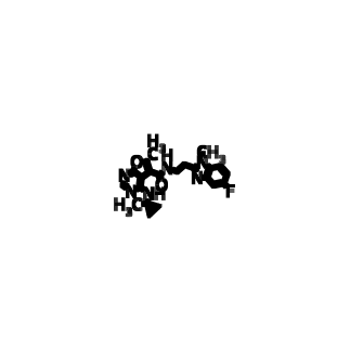 Cc1oc2ncnc(NC3(C)CC3)c2c1C(=O)NCCc1nc2cc(F)ccc2n1C